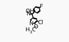 COc1ncc(C(=NO)c2ccc(F)cc2)cc1Cl